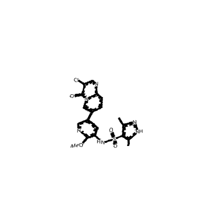 COc1ncc(-c2ccc3ncc(Cl)c(=O)n3c2)cc1NS(=O)(=O)c1c(C)n[nH]c1C